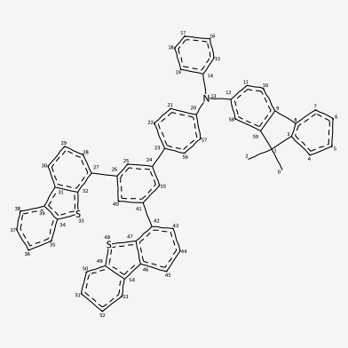 CC1(C)c2ccccc2-c2ccc(N(c3ccccc3)c3ccc(-c4cc(-c5cccc6c5sc5ccccc56)cc(-c5cccc6c5sc5ccccc56)c4)cc3)cc21